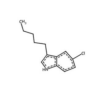 CCCCCc1c[nH]c2ccc(Cl)cc12